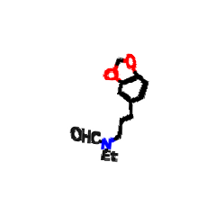 CCN(C=O)CCCc1ccc2c(c1)OCO2